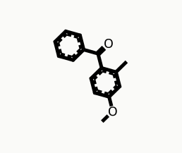 COc1ccc(C(=O)c2ccccc2)c(C)c1